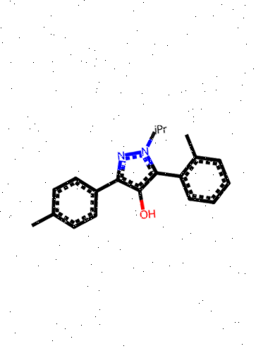 Cc1ccc(-c2nn(C(C)C)c(-c3ccccc3C)c2O)cc1